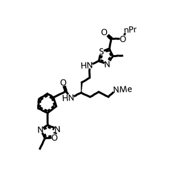 CCCOC(=O)c1sc(NCC[C@@H](CCCNC)NC(=O)c2cccc(-c3noc(C)n3)c2)nc1C